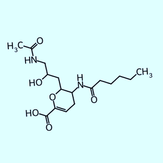 CCCCCC(=O)NC1CC=C(C(=O)O)OC1CC(O)CNC(C)=O